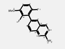 COc1ccc(F)c(-c2ccc3nc(N)ncc3c2)c1F